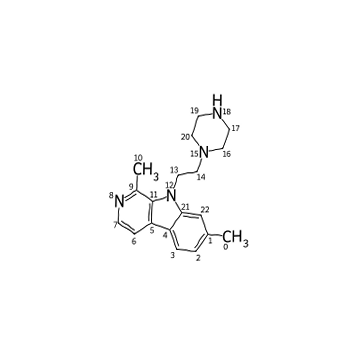 Cc1ccc2c3ccnc(C)c3n(CCN3CCNCC3)c2c1